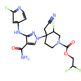 N#CCC1(n2cc(C(N)=O)c(Nc3ccnc(F)c3)n2)CCN(C(=O)OCC(F)F)CC1F